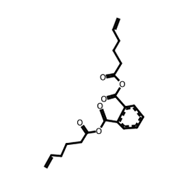 C=CCCCC(=O)OC(=O)c1ccccc1C(=O)OC(=O)CCCC=C